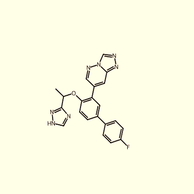 CC(Oc1ccc(-c2ccc(F)cc2)cc1-c1cnn2cnnc2c1)c1nc[nH]n1